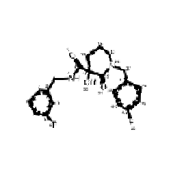 O=C(NCc1cccc(F)c1)C1(O)CCCN(Cc2ccc(F)cc2)C1=O